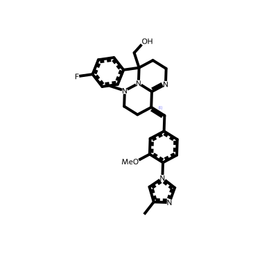 COc1cc(/C=C2\CCN(C)N3C2=NCCC3(CO)c2ccc(F)cc2)ccc1-n1cnc(C)c1